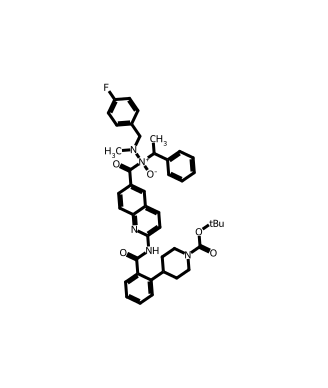 CC(c1ccccc1)[N+]([O-])(C(=O)c1ccc2nc(NC(=O)c3ccccc3C3CCN(C(=O)OC(C)(C)C)CC3)ccc2c1)N(C)Cc1ccc(F)cc1